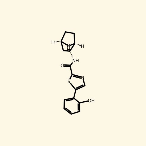 O=C(N[C@@H]1C[C@H]2CC[C@@H]1N2)c1ncc(-c2ccccc2O)s1